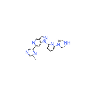 Cc1cncc(-c2cc3c(cn2)cnn3-c2cccc(N3CCNC[C@H]3C)n2)n1